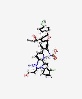 CCN(c1cc2oc(-c3ccc(F)cc3)c(C(=O)NC)c2cc1-c1ccc2c(n1)-c1cc3c(F)cccc3n1C(CCO)N2)[SH](=O)=O